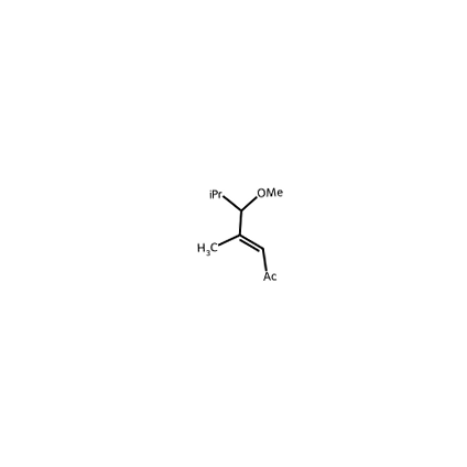 COC(C(C)=CC(C)=O)C(C)C